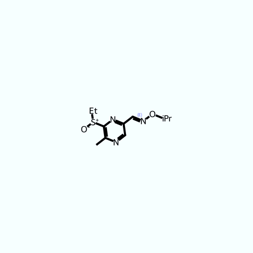 CC[S+]([O-])c1nc(/C=N/OC(C)C)cnc1C